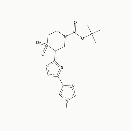 Cn1cnc(-c2ccc(C3CN(C(=O)OC(C)(C)C)CCS3(=O)=O)s2)c1